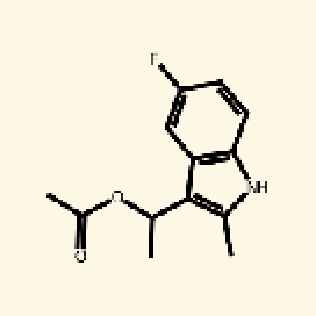 CC(=O)OC(C)c1c(C)[nH]c2ccc(F)cc12